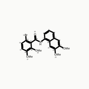 COc1cc2cccc(NC(=O)c3c(Br)ccc(OC)c3OC)c2cc1OC